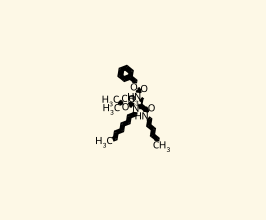 CCCCCCCCN(C(=O)OC(C)(C)C)[C@@H](CNC(=O)OCc1ccccc1)C(=O)NCCCCCC